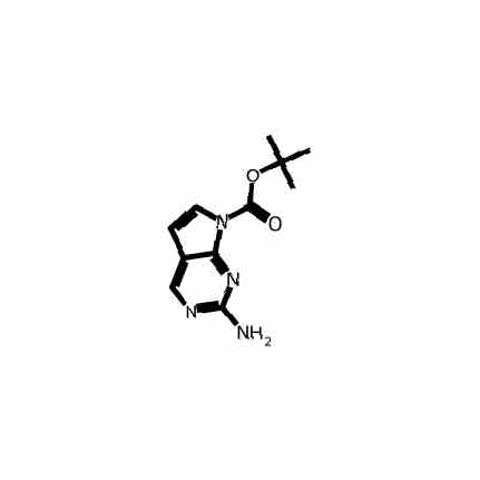 CC(C)(C)OC(=O)n1ccc2cnc(N)nc21